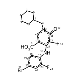 O=C(O)c1cn(CC2CCCCC2)c(=O)c(F)c1Nc1ccc(Br)cc1F